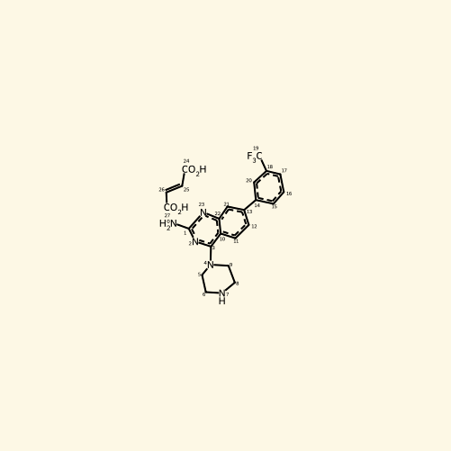 Nc1nc(N2CCNCC2)c2ccc(-c3cccc(C(F)(F)F)c3)cc2n1.O=C(O)C=CC(=O)O